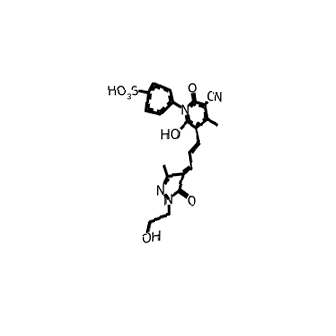 CC1=NN(CCO)C(=O)C1=CC=Cc1c(C)c(C#N)c(=O)n(-c2ccc(S(=O)(=O)O)cc2)c1O